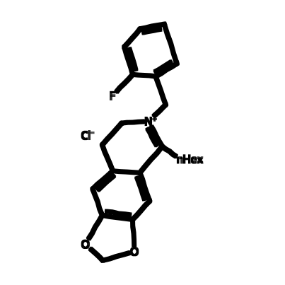 CCCCCCC1=[N+](Cc2ccccc2F)CCc2cc3c(cc21)OCO3.[Cl-]